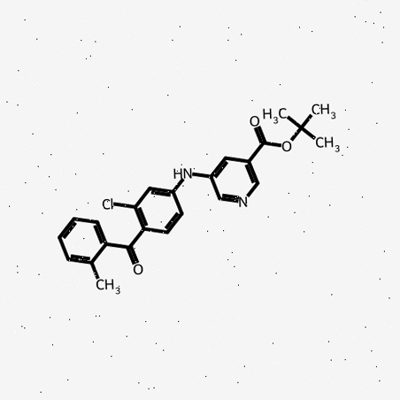 Cc1ccccc1C(=O)c1ccc(Nc2cncc(C(=O)OC(C)(C)C)c2)cc1Cl